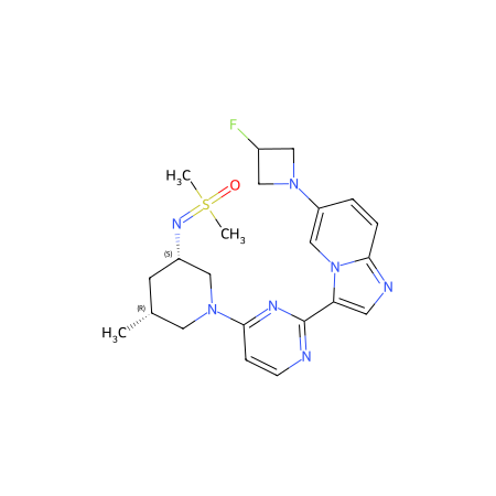 C[C@@H]1C[C@H](N=S(C)(C)=O)CN(c2ccnc(-c3cnc4ccc(N5CC(F)C5)cn34)n2)C1